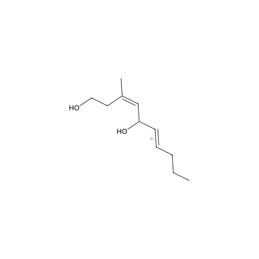 CCC/C=C/C(O)C=C(C)CCO